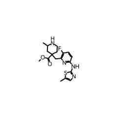 COC(=O)C1(Cc2nc(Nc3ncc(C)s3)ccc2F)CCNC(C)C1